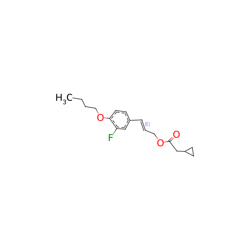 CCCCOc1ccc(/C=C/COC(=O)CC2CC2)cc1F